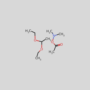 CC(=O)ON(C)C.CCOC(C)OCC